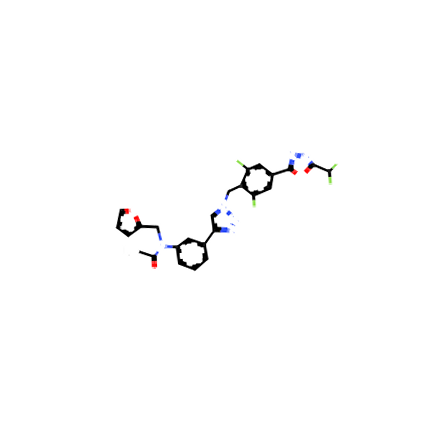 CC(=O)N(Cc1ccco1)c1cccc(-c2cn(Cc3c(F)cc(-c4nnc(C(F)F)o4)cc3F)nn2)c1